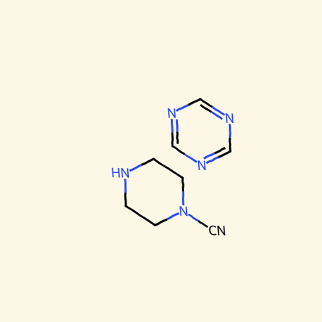 N#CN1CCNCC1.c1ncncn1